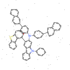 c1ccc(-n2c3ccccc3c3cc(-c4cccc5sc6ccccc6c45)c(N(c4ccc(-c5ccc6ccccc6c5)cc4)c4ccc(-c5ccc6ccccc6c5)cc4)cc32)cc1